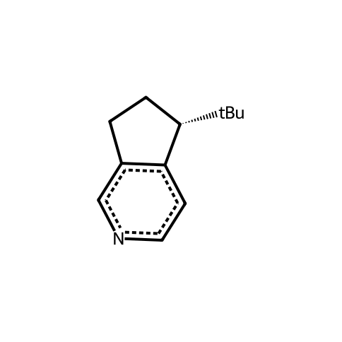 CC(C)(C)[C@H]1CCc2cnccc21